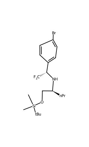 CCC[C@@H](CO[Si](C)(C)C(C)(C)C)N[C@@H](c1ccc(Br)cc1)C(F)(F)F